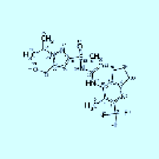 Cc1c(C(F)(F)F)nc2c(c1NC(=O)N=S(C)(=O)c1cc(CO)n(C(C)C)n1)CCC2